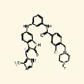 CCN1CCN(Cc2ccc(C(=O)Nc3cccc(Nc4ccc5c(c4)NC(=O)/C5=C\c4[nH]cnc4C)c3)cc2Cl)CC1